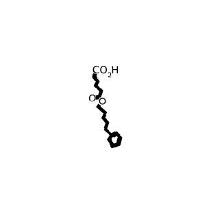 O=C(O)CCCCC(=O)OCCCCCc1ccccc1